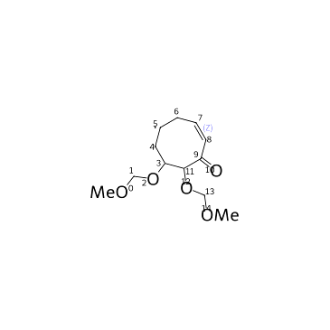 COCOC1C[CH]C/C=C\C(=O)C1OCOC